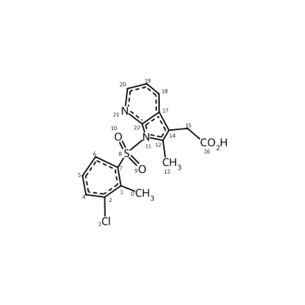 Cc1c(Cl)cccc1S(=O)(=O)n1c(C)c(CC(=O)O)c2cccnc21